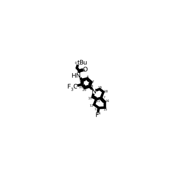 CC(C)(C)CC(=O)Nc1ccc(N2C=C3CC(F)CC=C3CC2)cc1C(F)(F)F